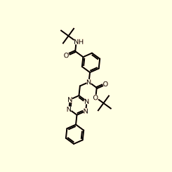 CC(C)(C)NC(=O)c1cccc(N(Cc2nnc(-c3ccccc3)nn2)C(=O)OC(C)(C)C)c1